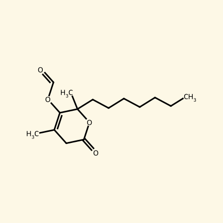 CCCCCCCC1(C)OC(=O)CC(C)=C1OC=O